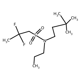 CCCN(CCC(C)(C)C)S(=O)(=O)CC(C)(F)F